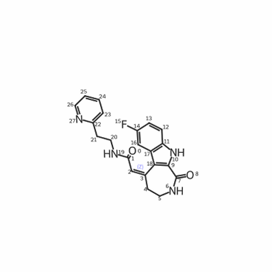 O=C(/C=C1/CCNC(=O)c2[nH]c3ccc(F)cc3c21)NCCc1ccccn1